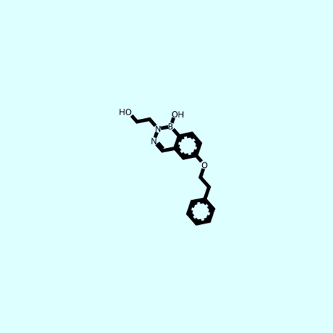 OCCN1N=Cc2cc(OCCc3ccccc3)ccc2B1O